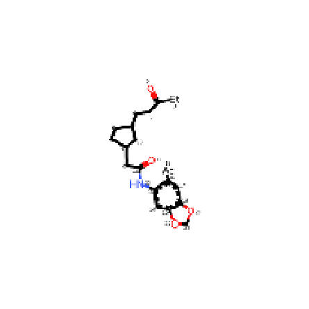 CCC(=O)CCC1CCC(CC(=O)Nc2cc3c(cc2C(C)=O)OCO3)C1